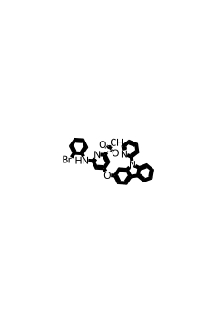 CS(=O)(=O)c1cc(Oc2ccc3c4ccccc4n(-c4ccccn4)c3c2)cc(Nc2ccccc2Br)n1